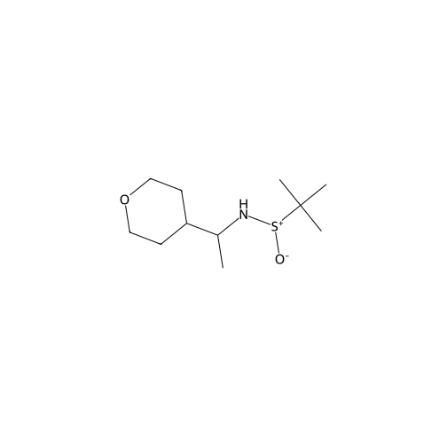 CC(N[S+]([O-])C(C)(C)C)C1CCOCC1